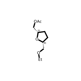 CCOC[C@H]1CC[C@@H](COC(C)=O)O1